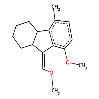 CO/C=C1\c2c(OC)ccc(C)c2C2CCCCC12